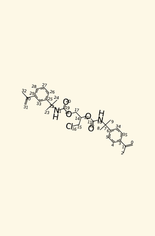 C=C(C)c1ccc(C(C)(C)NC(=O)OC(CCl)COC(=O)NC(C)(C)c2cccc(C(=C)C)c2)cc1